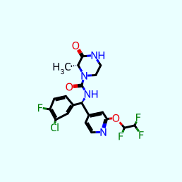 C[C@@H]1C(=O)NCCN1C(=O)N[C@@H](c1ccnc(OC(F)C(F)F)c1)c1ccc(F)c(Cl)c1